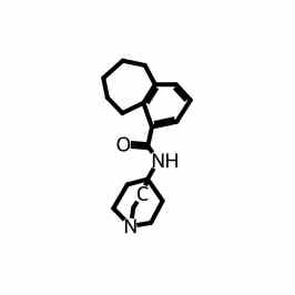 O=C(NC12CCN(CC1)CC2)c1cccc2c1CCCCC2